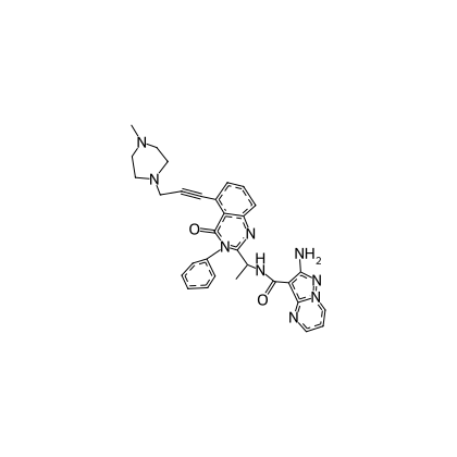 CC(NC(=O)c1c(N)nn2cccnc12)c1nc2cccc(C#CCN3CCN(C)CC3)c2c(=O)n1-c1ccccc1